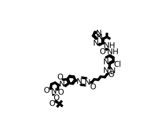 CC(C)c1c(NC(=O)Nc2cnc(-c3noc(CCCCC(=O)N4CCN(c5ccc6c(c5)CN(C5CCC(=O)N(COC(=O)C(C)(C)C)C5=O)C6=O)CC4)n3)c(Cl)c2)cnc2ccnn12